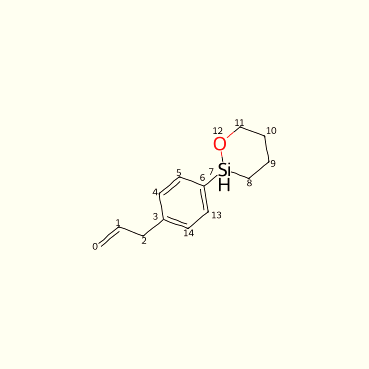 C=CCc1ccc([SiH]2CCCCO2)cc1